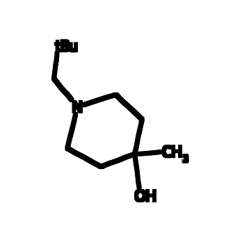 CC(C)(C)CN1CCC(C)(O)CC1